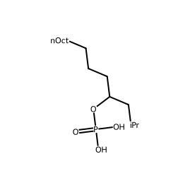 CCCCCCCCCCCC(CC(C)C)OP(=O)(O)O